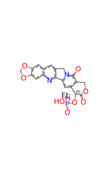 CC[C@@]1(O[PH](=O)O)C(=O)OCc2c1cc1n(c2=O)Cc2cc3cc4c(cc3nc2-1)OCO4